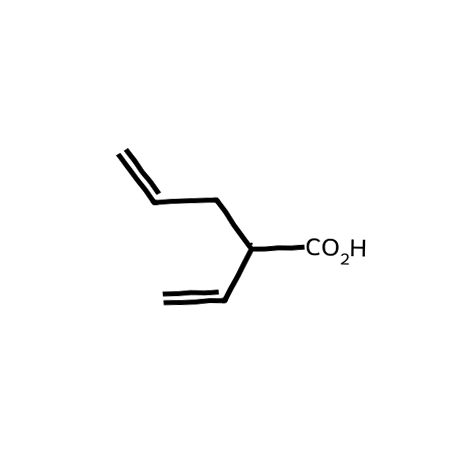 C=CC[C](C=C)C(=O)O